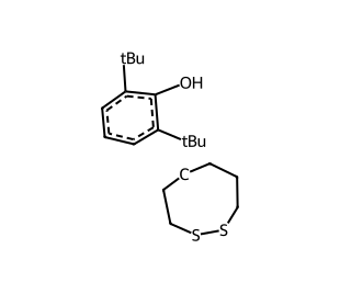 C1CCCSSCC1.CC(C)(C)c1cccc(C(C)(C)C)c1O